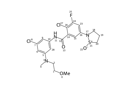 COCCN(C)c1cc(Cl)cc(NC(=O)c2cc(N3CCC[S+]3[O-])cc(F)c2Cl)c1